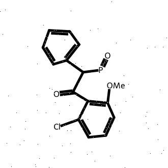 COc1cccc(Cl)c1C(=O)C(P=O)c1ccccc1